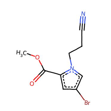 COC(=O)c1cc(Br)cn1CCC#N